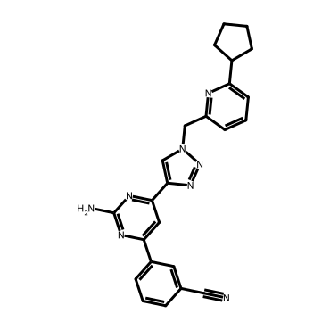 N#Cc1cccc(-c2cc(-c3cn(Cc4cccc(C5CCCC5)n4)nn3)nc(N)n2)c1